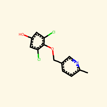 Cc1ccc(COc2c(Cl)cc(O)cc2Cl)cn1